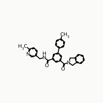 Cc1ccc(-c2cc(C(=O)NCc3ccc(C)nc3)cc(C(=O)N3Cc4ccccc4C3)c2)cc1